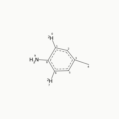 [2H]c1cc(C)cc([2H])c1N